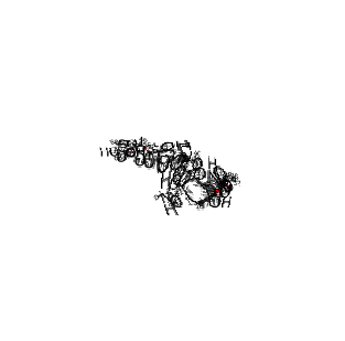 CCN[C@H]1CO[C@@H](O[C@H]2[C@H](O[C@H]3C#C/C=C/C#C[C@]4(O)CC(=O)C(NC(=O)OC)=C3/C4=C\CSSC3CC3)O[C@H](C)[C@@H](NO[C@H]3C[C@H](O)[C@H](SC(=O)c4c(C)c(I)c(O[C@@H]5O[C@@H](C)[C@H](O)[C@@H](OC)[C@H]5O)c(OC)c4OC)[C@@H](C)O3)[C@@H]2O)C[C@@H]1OC